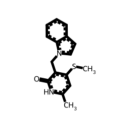 CSc1cc(C)[nH]c(=O)c1Cn1ccc2ccccc21